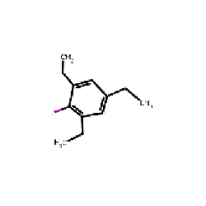 CCc1[c]c(CC)c(I)c(CC)c1